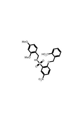 COc1ccc(CNS(=O)(=O)c2cc([N+](=O)[O-])ccc2OCc2ccccc2C(=O)O)c(OC)c1